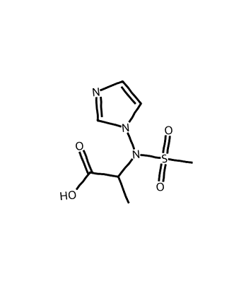 CC(C(=O)O)N(n1ccnc1)S(C)(=O)=O